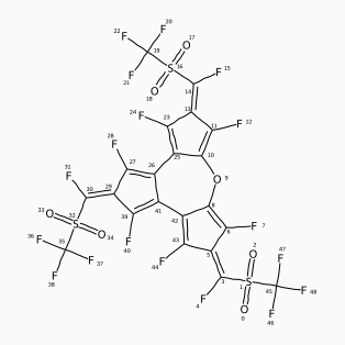 O=S(=O)(/C(F)=c1\c(F)c2oc3c(F)/c(=C(\F)S(=O)(=O)C(F)(F)F)c(F)c3c3c(F)/c(=C(\F)S(=O)(=O)C(F)(F)F)c(F)c3c2c1F)C(F)(F)F